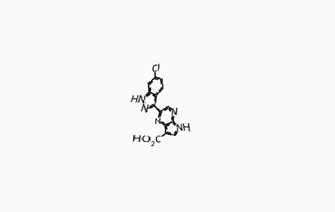 O=C(O)c1c[nH]c2ncc(-c3n[nH]c4cc(Cl)ccc34)nc12